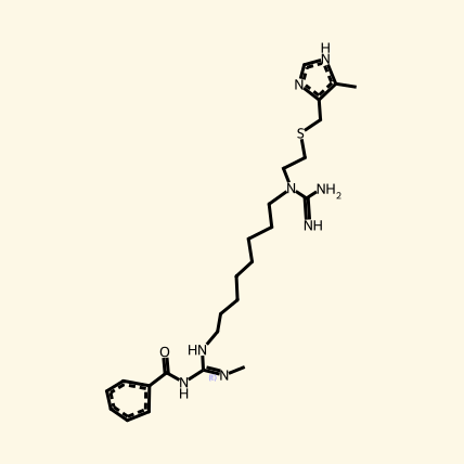 C/N=C(\NCCCCCCCCN(CCSCc1nc[nH]c1C)C(=N)N)NC(=O)c1ccccc1